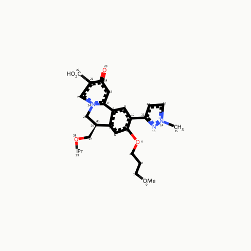 COCCCOc1cc2c(cc1-c1ccn(C)n1)-c1cc(=O)c(C(=O)O)cn1C[C@@H]2COC(C)C